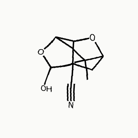 CC1(C)C2CC3(C#N)C(O)OC1C3O2